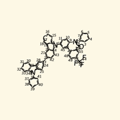 O=S1(c2ccccc2)=Nc2ccc(-n3c4ccccc4c4cc(-c5ccc6c(c5)c5ccccc5n6-c5ccccc5)ccc43)cc2-c2ccc(C(F)(F)F)cc21